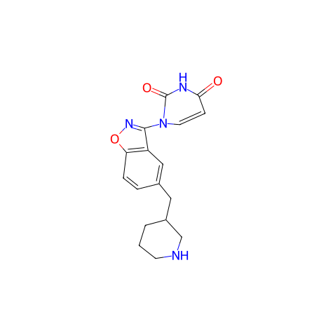 O=c1ccn(-c2noc3ccc(CC4CCCNC4)cc23)c(=O)[nH]1